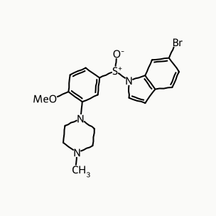 COc1ccc([S+]([O-])n2ccc3ccc(Br)cc32)cc1N1CCN(C)CC1